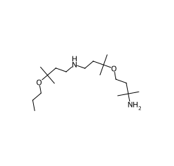 CCCOC(C)(C)CCNCCC(C)(C)OCCC(C)(C)N